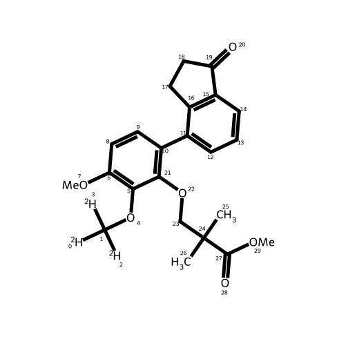 [2H]C([2H])([2H])Oc1c(OC)ccc(-c2cccc3c2CCC3=O)c1OCC(C)(C)C(=O)OC